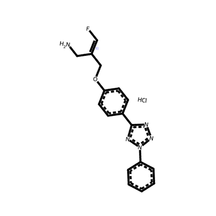 Cl.NC/C(=C\F)COc1ccc(-c2nnn(-c3ccccc3)n2)cc1